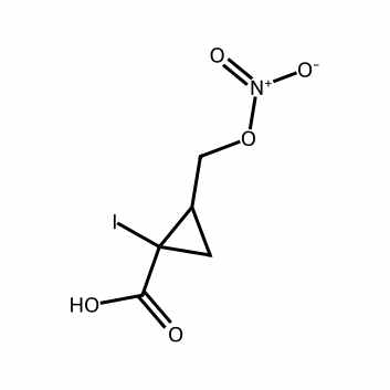 O=C(O)C1(I)CC1CO[N+](=O)[O-]